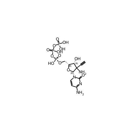 C#CC1(N)[C@@H](O)[C@@H](COP(=O)(O)OP(=O)(O)OP(=O)(O)O)O[C@H]1n1ccc(N)nc1=O